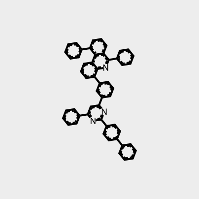 c1ccc(-c2ccc(-c3nc(-c4ccccc4)cc(-c4cccc(-c5cccc6c5nc(-c5ccccc5)c5cccc(-c7ccccc7)c56)c4)n3)cc2)cc1